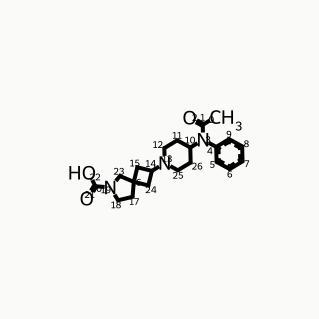 CC(=O)N(c1ccccc1)C1CCN(C2CC3(CCN(C(=O)O)C3)C2)CC1